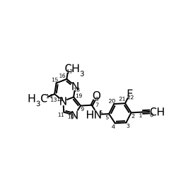 C#Cc1ccc(NC(=O)c2ncn3c(C)cc(C)nc23)cc1F